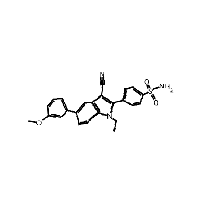 CCn1c(-c2ccc(S(N)(=O)=O)cc2)c(C#N)c2cc(-c3cccc(OC)c3)ccc21